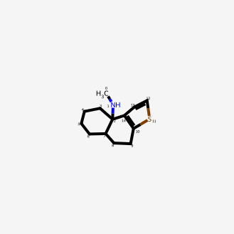 CNC12CCCCC1CCc1sccc12